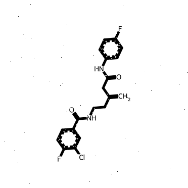 C=C(CCNC(=O)c1ccc(F)c(Cl)c1)CC(=O)Nc1ccc(F)cc1